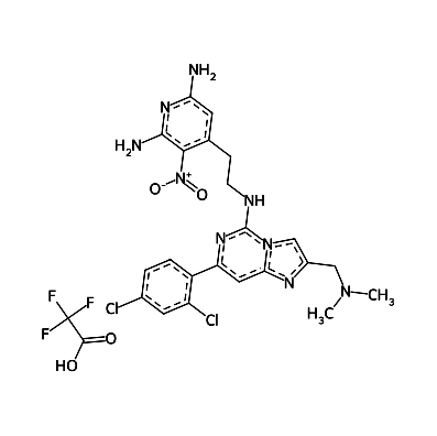 CN(C)Cc1cn2c(NCCc3cc(N)nc(N)c3[N+](=O)[O-])nc(-c3ccc(Cl)cc3Cl)cc2n1.O=C(O)C(F)(F)F